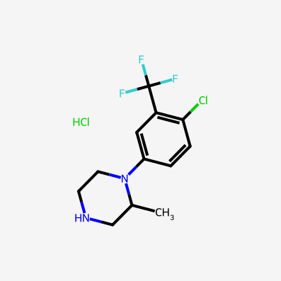 CC1CNCCN1c1ccc(Cl)c(C(F)(F)F)c1.Cl